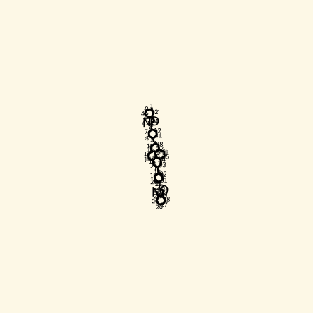 c1ccc2oc(-c3ccc(-c4cc5ccc6cc(-c7ccc(-c8nc9ccccc9o8)cc7)cc7ccc(c4)c5c67)cc3)nc2c1